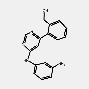 Nc1cccc(Nc2cc(-c3ccccc3CO)ncn2)c1